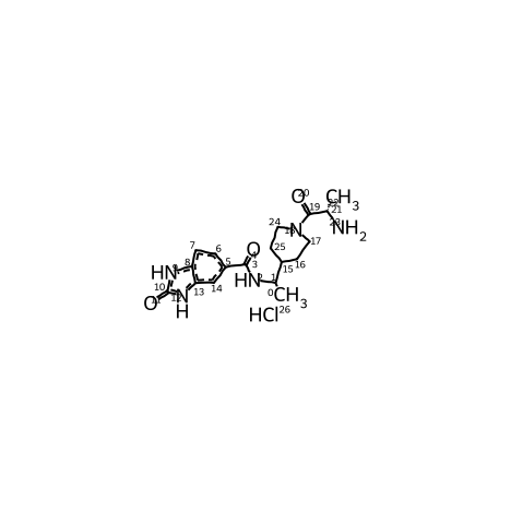 CC(NC(=O)c1ccc2[nH]c(=O)[nH]c2c1)C1CCN(C(=O)[C@H](C)N)CC1.Cl